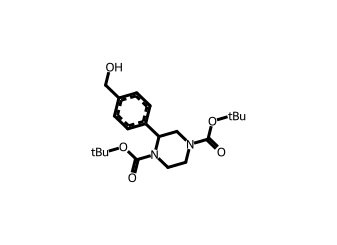 CC(C)(C)OC(=O)N1CCN(C(=O)OC(C)(C)C)C(c2ccc(CO)cc2)C1